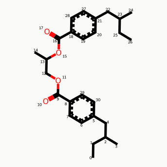 CCC(C)Cc1ccc(C(=O)OCC(C)OC(=O)c2ccc(CC(C)CC)cc2)cc1